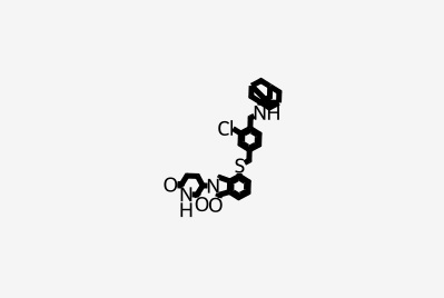 O=C1CCC(N2Cc3c(SCc4ccc(CNC56CC7CC(CC(C7)C5)C6)c(Cl)c4)cccc3C2=O)C(=O)N1